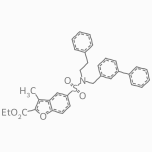 CCOC(=O)c1oc2ccc(S(=O)(=O)N(CCc3ccccc3)Cc3cccc(-c4ccccc4)c3)cc2c1C